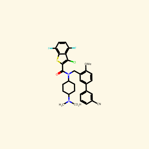 COc1ccc(-c2cccc(C#N)c2)cc1CN(C(=O)c1sc2c(F)ccc(F)c2c1Cl)C1CCC(N(C)C(=O)O)CC1